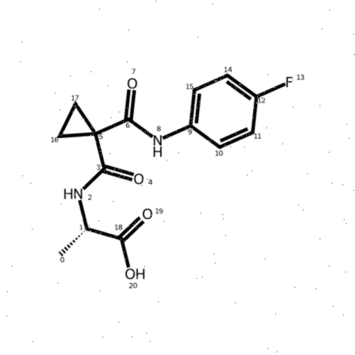 C[C@H](NC(=O)C1(C(=O)Nc2ccc(F)cc2)CC1)C(=O)O